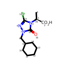 C[C@@H](C(=O)O)n1c(Br)nn(CC2CCCCC2)c1=O